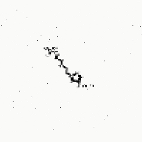 CCOC(=O)c1cnn(CCOCCOS(C)(=O)=O)c1